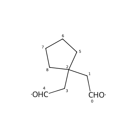 O=[C]CC1(C[C]=O)CCCC1